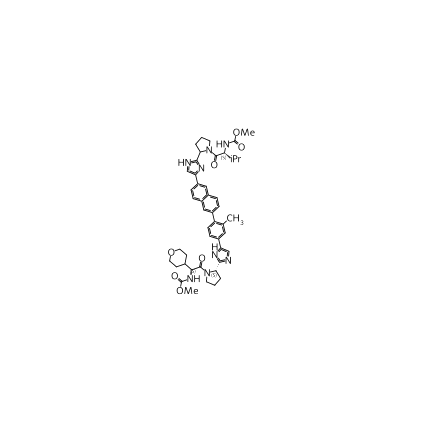 COC(=O)N[C@H](C(=O)N1CCCC1c1nc(-c2ccc3cc(-c4ccc(-c5cnc([C@@H]6CCCN6C(=O)[C@@H](NC(=O)OC)C6CCOCC6)[nH]5)cc4C)ccc3c2)c[nH]1)C(C)C